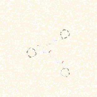 COc1cccc(CNC[C@@H](O)[C@H](Cc2ccccc2)NC(=O)CCNC(=O)c2ccccc2)c1